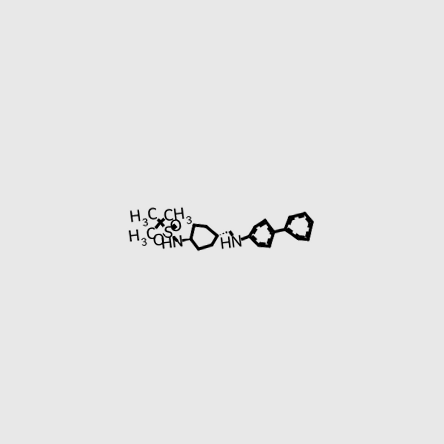 CC(C)(C)S(=O)(=O)N[C@H]1CC[C@H](CNc2ccc(-c3ccccc3)cc2)CC1